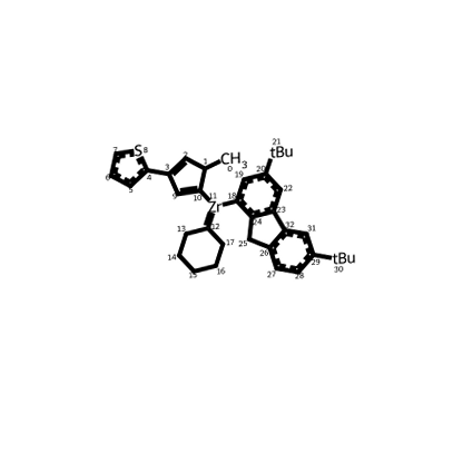 CC1C=C(c2cccs2)C=[C]1[Zr](=[C]1CCCCC1)[c]1cc(C(C)(C)C)cc2c1Cc1ccc(C(C)(C)C)cc1-2